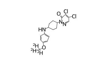 [2H]C([2H])([2H])Oc1ccc(NC2CCC(n3ncc(Cl)c(Cl)c3=O)CC2)cc1